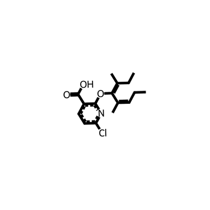 CC/C=C(C)\C(Oc1nc(Cl)ccc1C(=O)O)=C(\C)CC